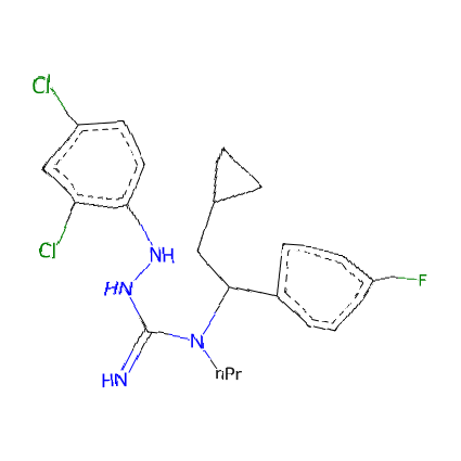 CCCN(C(=N)NNc1ccc(Cl)cc1Cl)C(CC1CC1)c1ccc(F)cc1